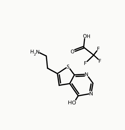 NCCc1cc2c(O)ncnc2s1.O=C(O)C(F)(F)F